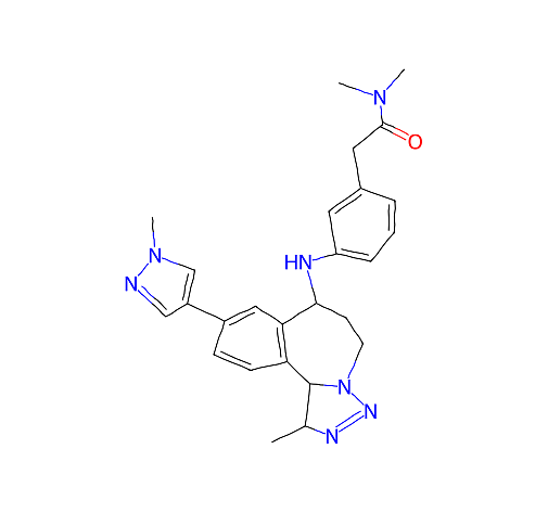 CC1N=NN2CCC(Nc3cccc(CC(=O)N(C)C)c3)c3cc(-c4cnn(C)c4)ccc3C12